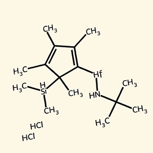 CC1=C(C)C(C)([SiH](C)C)[C]([Hf][NH]C(C)(C)C)=C1C.Cl.Cl